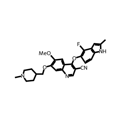 COc1cc2c(Oc3ccc4[nH]c(C)cc4c3F)c(C#N)cnc2cc1OCC1CCN(C)CC1